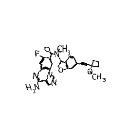 COC1(C#Cc2ccc3c(c2)OC[C@H]3N(C)C(=O)c2cc3c(cc2F)nc(N)c2cncn23)CCC1